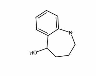 OC1CCC[N]c2ccccc21